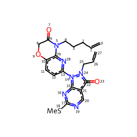 C=CCCCN1C(=O)COc2ccc(-n3c4nc(SC)ncc4c(=O)n3CC=C)nc21